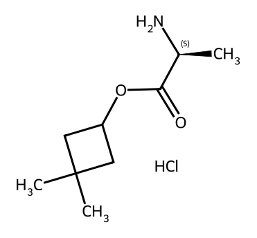 C[C@H](N)C(=O)OC1CC(C)(C)C1.Cl